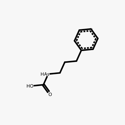 O=C(O)[AsH]CCCc1cc[c]cc1